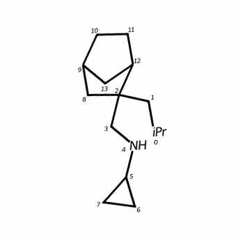 CC(C)CC1(CNC2CC2)CC2CCC1C2